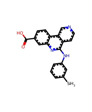 O=C(O)c1ccc2c(c1)nc(Nc1cccc([SiH3])c1)c1ccncc12